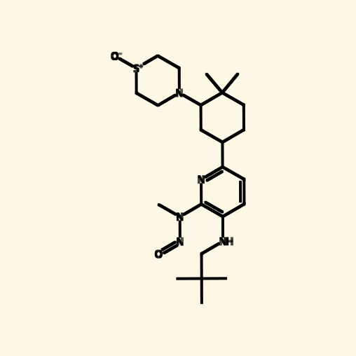 CN(N=O)c1nc(C2CCC(C)(C)C(N3CC[S+]([O-])CC3)C2)ccc1NCC(C)(C)C